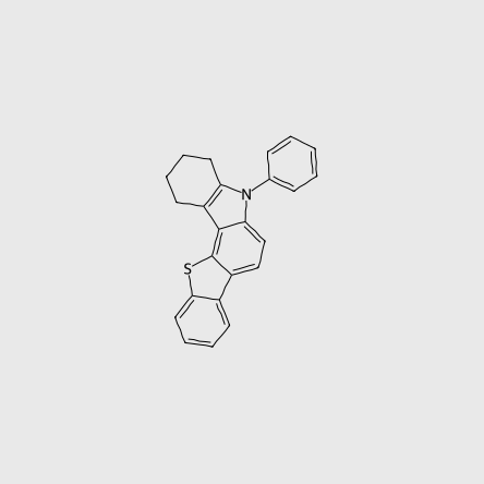 c1ccc(-n2c3c(c4c5sc6ccccc6c5ccc42)CCCC3)cc1